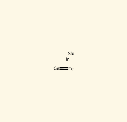 [Ge]=[Te].[In].[Sb]